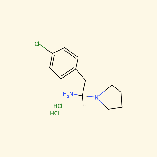 Cl.Cl.[CH2]C(N)(Cc1ccc(Cl)cc1)N1CCCC1